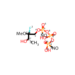 COC(F)(COP(=O)(N=O)OP(=O)(O)OP(=O)(O)N=O)[C@H](C)O